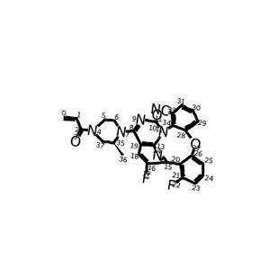 C=CC(=O)N1CCN(c2nc(=O)n3c4nc(c(F)cc24)c2c(F)cccc2oc2cccc(C#N)c23)[C@@H](C)C1